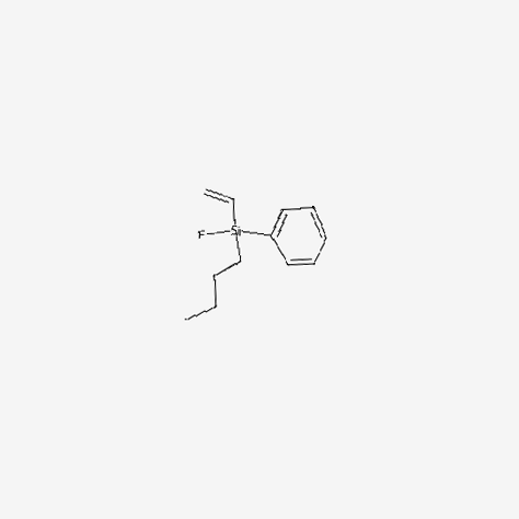 C=C[Si](F)(CCCC)c1ccccc1